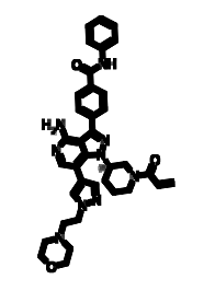 C=CC(=O)N1CCC[C@@H](n2nc(-c3ccc(C(=O)Nc4ccccc4)cc3)c3c(N)ncc(-c4cnn(CCN5CCOCC5)c4)c32)C1